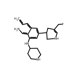 C=C/C=c1/cc(C2CNC=C(CF)C2)cc(NC2CCNCC2)/c1=C/N